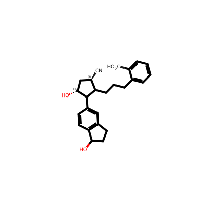 N#C[C@@H]1C[C@@H](O)C(c2ccc3c(c2)CCC3O)C1CCCc1ccccc1C(=O)O